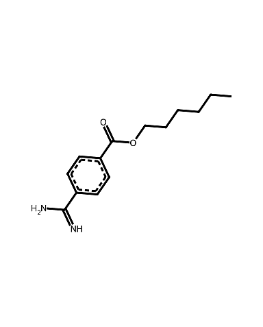 CCCCCCOC(=O)c1ccc(C(=N)N)cc1